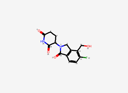 O=C1CCC(N2Cc3c(ccc(F)c3CO)C2=O)C(=O)N1